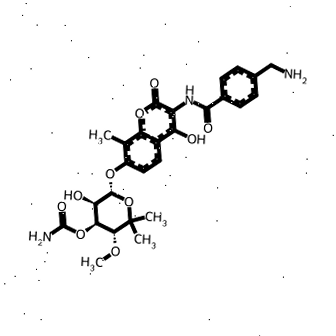 CO[C@@H]1[C@@H](OC(N)=O)[C@@H](O)[C@H](Oc2ccc3c(O)c(NC(=O)c4ccc(CN)cc4)c(=O)oc3c2C)OC1(C)C